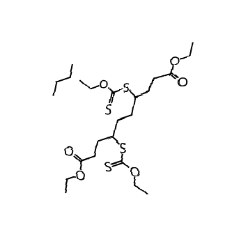 CCCC.CCOC(=O)CCC(CCC(CCC(=O)OCC)SC(=S)OCC)SC(=S)OCC